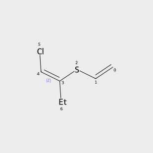 C=CS/C(=C\Cl)CC